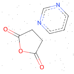 O=C1CCC(=O)O1.c1cncnc1